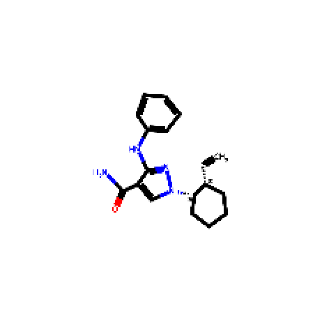 C=C[C@@H]1CCCC[C@@H]1n1cc(C(N)=O)c(Nc2ccccc2)n1